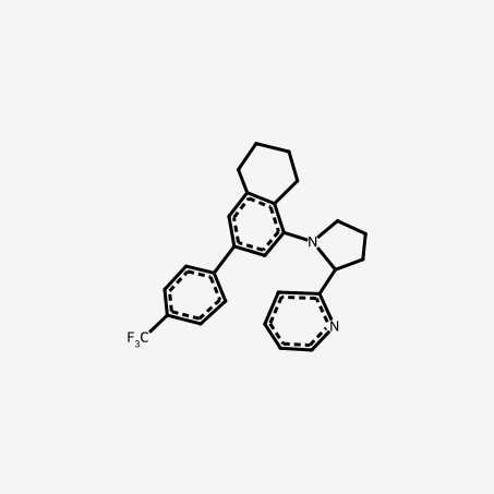 FC(F)(F)c1ccc(-c2cc3c(c(N4CCCC4c4ccccn4)c2)CCCC3)cc1